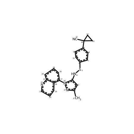 Cc1cc(NSc2ccc(C3(C#N)CC3)cc2)n(-c2cccc3ncccc23)n1